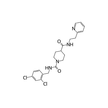 O=C(NCCc1ccccn1)C1CCN(C(=O)NCc2ccc(Cl)cc2Cl)CC1